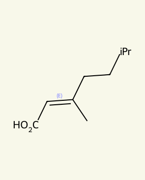 C/C(=C\C(=O)O)CCC(C)C